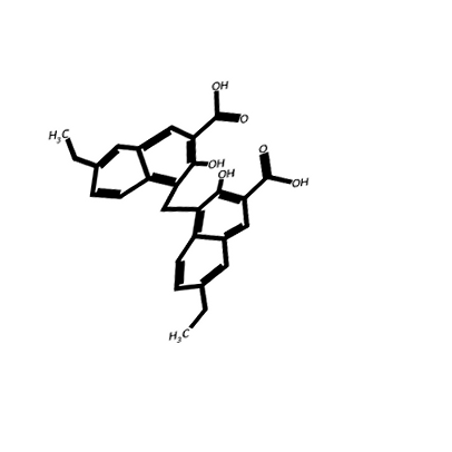 CCc1ccc2c(Cc3c(O)c(C(=O)O)cc4cc(CC)ccc34)c(O)c(C(=O)O)cc2c1